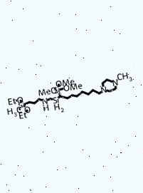 CCO[Si](C)(CCCNC[SiH2]C(CCCCCCCN1CCN(C)CC1)[Si](OC)(OC)OC)OCC